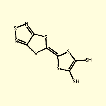 SC1=C(S)SC(=C2Sc3nsnc3S2)S1